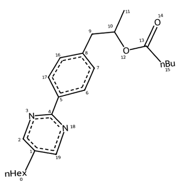 CCCCCCc1cnc(-c2ccc(CC(C)OC(=O)CCCC)cc2)nc1